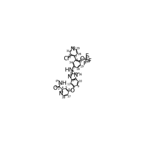 CNC(=O)c1cc(Oc2ccc3c(c2)nc(Nc2ccc(OC(F)(F)F)c(-c4ccncc4Cl)c2)n3C)ccn1